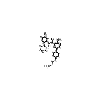 NCCCc1ccc(-c2cnc(N)c(C(=O)Nc3cc(F)ccc3N3CCOCC3)n2)cc1